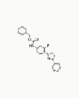 O=C(Nc1ccc(-n2ccc(-c3ccccn3)n2)c(F)c1)OCc1ccccc1